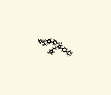 CC(Cn1cnnn1)Oc1cc(-c2cnc(Nc3cn(C4CCC(N5CCOCC5)CC4)nc3OCCc3ccn(C)n3)nc2)ccc1C#N